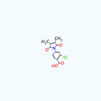 CC1=C(C)C(=O)N(c2ccc(C(=O)O)c(Cl)c2)C1=O